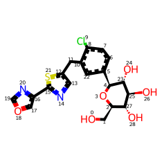 OC[C@H]1O[C@@H](c2ccc(Cl)c(Cc3cnc(-c4cocn4)s3)c2)[C@H](O)[C@@H](O)[C@@H]1O